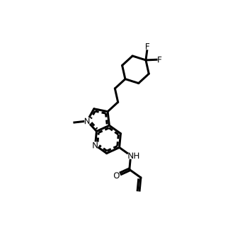 C=CC(=O)Nc1cnc2c(c1)c(CCC1CCC(F)(F)CC1)cn2C